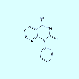 O=C1NC(S)c2cccnc2N1c1ccccc1